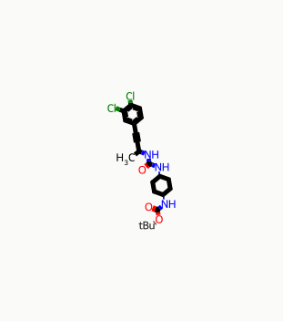 CC(C#Cc1ccc(Cl)c(Cl)c1)NC(=O)N[C@H]1CC[C@@H](NC(=O)OC(C)(C)C)CC1